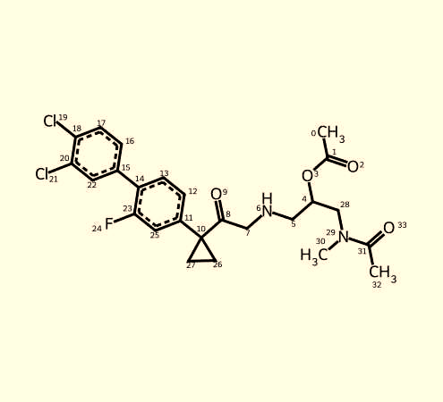 CC(=O)OC(CNCC(=O)C1(c2ccc(-c3ccc(Cl)c(Cl)c3)c(F)c2)CC1)CN(C)C(C)=O